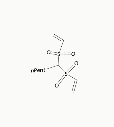 C=CS(=O)(=O)C(CCCCC)S(=O)(=O)C=C